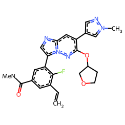 C=Cc1cc(C(=O)NC)cc(-c2cnc3cc(-c4cnn(C)c4)c(OC4CCOC4)nn23)c1F